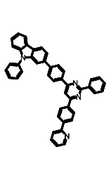 c1ccc(-c2nc(-c3ccc(-c4ccc5c6ccccc6n(-c6ccccc6)c5c4)cc3)cc(-c3ccc(-c4ccccn4)cc3)n2)cc1